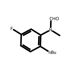 CCCCc1ccc(F)cc1N(C)C=O